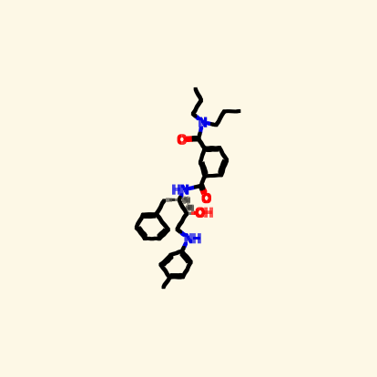 CCCN(CCC)C(=O)c1cccc(C(=O)N[C@@H](Cc2ccccc2)[C@H](O)CNc2ccc(C)cc2)c1